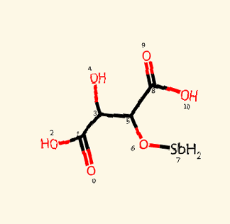 O=C(O)C(O)C([O][SbH2])C(=O)O